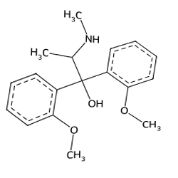 CNC(C)C(O)(c1ccccc1OC)c1ccccc1OC